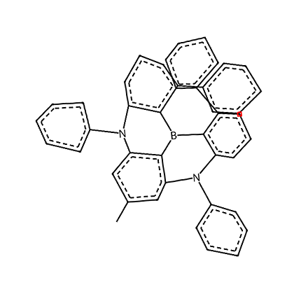 Cc1cc2c3c(c1)N(c1ccccc1)c1cccc(-c4ccccc4)c1B3c1c(-c3ccccc3)cccc1N2c1ccccc1